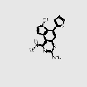 CCNc1nc(N)nc2cc(-c3cccs3)c3c(ccn3CC)c12